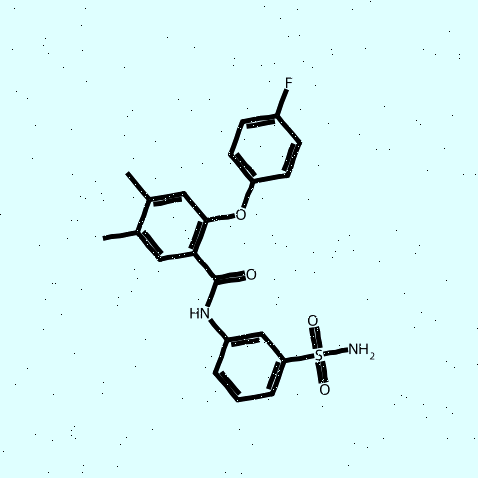 Cc1cc(Oc2ccc(F)cc2)c(C(=O)Nc2cccc(S(N)(=O)=O)c2)cc1C